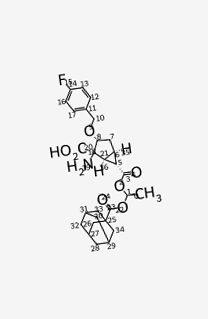 C[C@H](OC(=O)[C@H]1[C@@H]2C[C@@H](OCc3ccc(F)cc3)[C@@](N)(C(=O)O)[C@@H]21)OC(=O)C12CC3CC(CC(C3)C1)C2